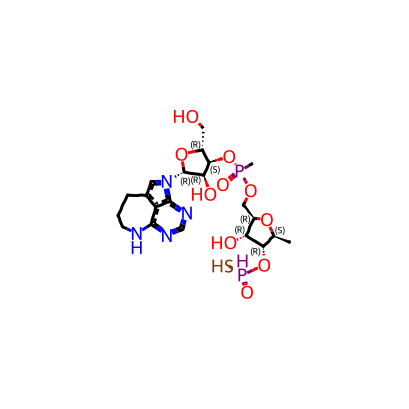 C[C@@H]1O[C@H](COP(C)(=O)O[C@H]2[C@@H](O)[C@H](n3cc4c5c(ncnc53)NCCC4)O[C@@H]2CO)[C@@H](O)[C@H]1O[PH](=O)S